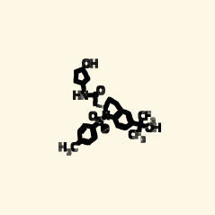 Cc1ccc(S(=O)(=O)N2c3ccc(C(O)(C(F)(F)F)C(F)(F)F)cc3CC[C@H]2CC(=O)NC2CC[C@@H](O)C2)cc1